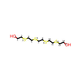 OCCSCCSCCSCCSCCO